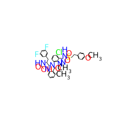 COc1ccc(CCS(=O)(=O)Nc2nn(C)c3c(-n4c(C(Cc5cc(F)cc(F)c5)NC(=O)O)nc5cccc(C)c5c4=O)ccc(Cl)c23)cc1